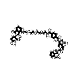 CN(C)C[C@@H](NC(=O)N1Cc2c(NC(=O)c3ccc(C(=O)NCCOCCOCCOCCNc4cccc5c4C(=O)N(C4CCC(=O)NC4=O)C5=O)cc3)n[nH]c2C1(C)C)c1ccccc1